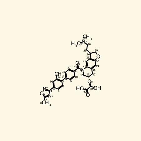 Cc1nc(-c2ccc(-c3ccc(C(=O)N4CCCc5cc6c(cc54)C(CCN(C)C)CO6)cc3)c(C)c2)no1.O=C(O)C(=O)O